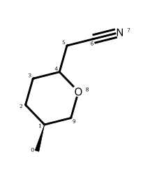 C[C@H]1CCC(CC#N)OC1